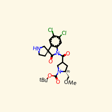 COC[C@H]1CC(C(=O)N2C(=O)[C@@]3(CCNC3)c3cc(Cl)c(Cl)cc32)CN1C(=O)OC(C)(C)C